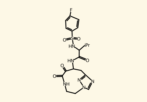 CC(C)C(NS(=O)(=O)c1ccc(F)cc1)C(=O)NC1Cc2ncn(n2)CCNC(=O)C1=O